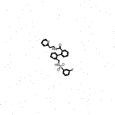 O=C(NCCc1ccccn1)c1ccccc1-c1ccccc1CNS(=O)(=O)c1cccc(F)c1